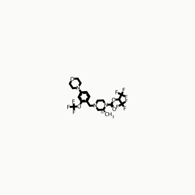 C[C@H]1CN(Cc2ccc(N3CCOCC3)cc2OC(F)(F)F)CCN1C(=O)OC(C(F)(F)F)C(F)(F)F